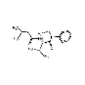 CCN(C(=O)[C@@H](NC(=O)OC(C)C)C(C)C)c1ccccc1